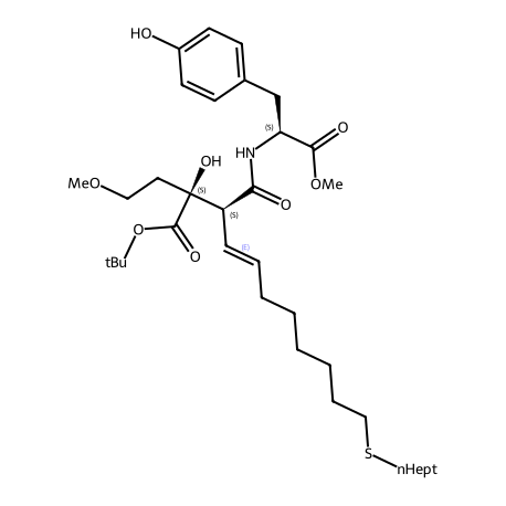 CCCCCCCSCCCCCC/C=C/[C@H](C(=O)N[C@@H](Cc1ccc(O)cc1)C(=O)OC)[C@@](O)(CCOC)C(=O)OC(C)(C)C